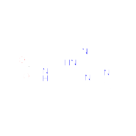 COC(=O)CNCCCCN(Cc1nc2ccccc2[nH]1)C1CCCc2cccnc21